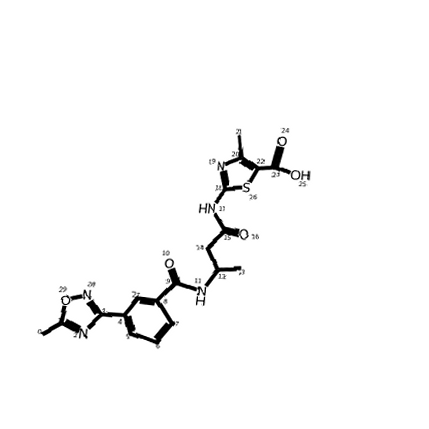 Cc1nc(-c2cccc(C(=O)NC(C)CC(=O)Nc3nc(C)c(C(=O)O)s3)c2)no1